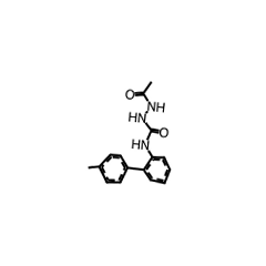 CC(=O)NNC(=O)Nc1ccccc1-c1ccc(C)cc1